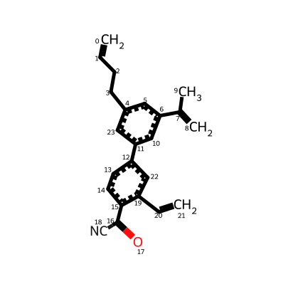 C=CCCc1cc(C(=C)C)cc(-c2ccc(C(=O)C#N)c(C=C)c2)c1